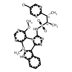 COc1ncnc(OC)c1-n1c(NS(=O)(=O)[C@H](C)[C@@H](C)c2ncc(Cl)cn2)nnc1-c1n[nH]c2ccccc12